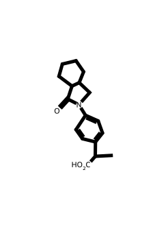 CC(C(=O)O)c1ccc(N2CC3CCCCC3C2=O)cc1